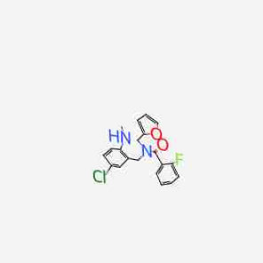 CNc1ccc(Cl)cc1CN(Cc1ccco1)C(=O)c1ccccc1F